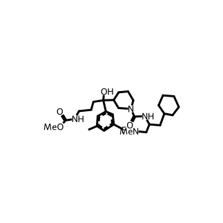 CNCC(CC1CCCCC1)NC(=O)N1CCCC(C(O)(CCCNC(=O)OC)c2cc(C)cc(F)c2)C1